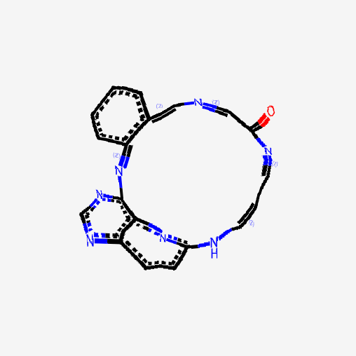 O=C1\C=N/C=c2/cccc/c2=N/c2ncnc3ccc(nc23)N/C=C\C=N/1